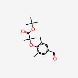 Cc1cc(C=O)cc(C)c1OC(C)(C)C(=O)OC(C)(C)C